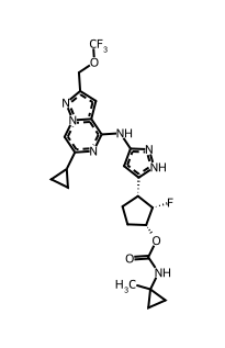 CC1(NC(=O)O[C@@H]2CC[C@H](c3cc(Nc4nc(C5CC5)cn5nc(COC(F)(F)F)cc45)n[nH]3)[C@@H]2F)CC1